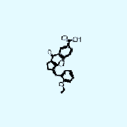 CCOc1ccccc1/C=C1/CCc2c1oc1ccc(C(=O)O)cc1c2=O